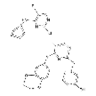 Fc1cnc(Cl)nc1Nn1cccc1.Oc1cccc(Nc2ncc(F)c(Nc3ccc4c(c3)OCCO4)n2)c1